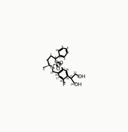 C[C@H]1CCC(c2ccccc2)S(=O)(=O)N1Cc1cc(F)c(C(CO)CO)cc1F